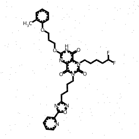 Cc1ccccc1OCCCOc1nc2c(=O)n(CCCCc3noc(-c4ccccn4)n3)c(=O)n(CCCCC(F)F)c2c(=O)[nH]1